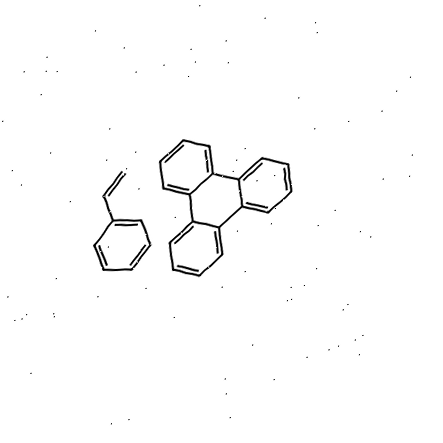 C=Cc1ccccc1.c1ccc2c(c1)c1ccccc1c1ccccc21